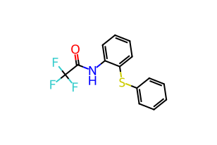 O=C(Nc1ccccc1Sc1ccccc1)C(F)(F)F